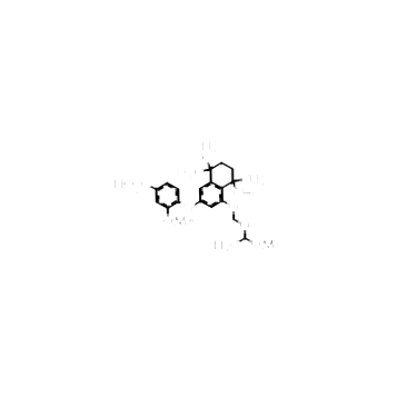 COc1cc(C(=O)O)ccc1[Se]c1cc(OCOC(C)OC)c2c(c1)C(C)(C)CCC2(C)C